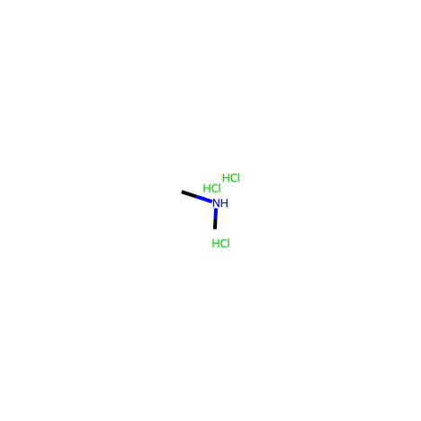 CNC.Cl.Cl.Cl